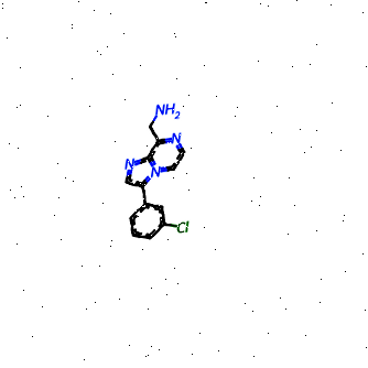 NCc1nccn2c(-c3cccc(Cl)c3)cnc12